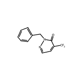 O=c1c(C(F)(F)F)ccnn1Cc1ccccc1